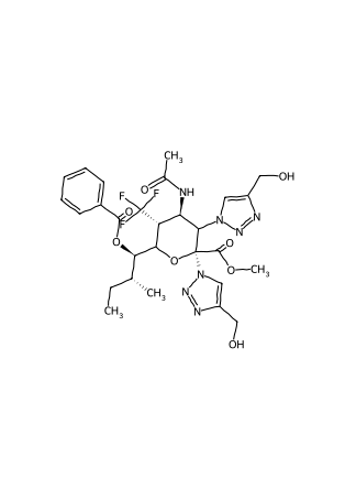 CC[C@@H](C)[C@@H](OC(=O)c1ccccc1)C1O[C@@](C(=O)OC)(n2cc(CO)nn2)C(n2cc(CO)nn2)[C@H](NC(C)=O)[C@H]1C(F)(F)F